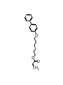 C=CC(=O)OCCCCCCOc1ccc(-c2ccccc2)cc1